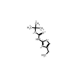 CCc1csc(NC(=O)OC(C)(C)C)n1